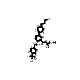 CCCCc1ccc(-c2ccc(OCc3ccc(C(C)(C)C)cc3)c(CCC(=O)O)c2)cc1